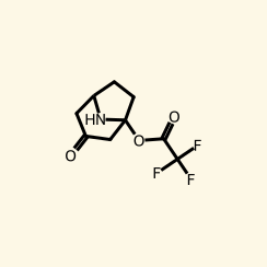 O=C1CC2CCC(OC(=O)C(F)(F)F)(C1)N2